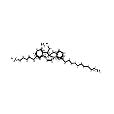 CCCCCCCCCCCCCCN1C=CN(CCCCCCCCC)C1(Cc1ccccc1)C(CC)c1ccccc1